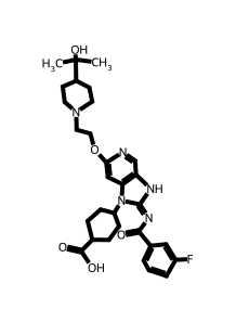 CC(C)(O)C1CCN(CCOc2cc3c(cn2)[nH]/c(=N/C(=O)c2cccc(F)c2)n3C2CCC(C(=O)O)CC2)CC1